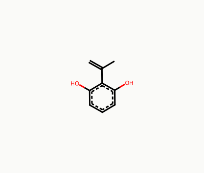 C=C(C)c1c(O)cccc1O